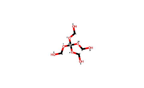 OCO[Si](OCO)(OCO)OCO